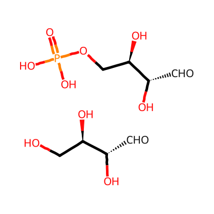 O=C[C@H](O)[C@H](O)CO.O=C[C@H](O)[C@H](O)COP(=O)(O)O